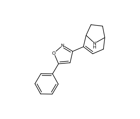 C1=C(c2cc(-c3ccccc3)on2)C2CCC(C1)N2